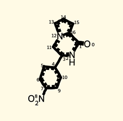 O=c1[nH]c(-c2ccc([N+](=O)[O-])cc2)cn2cccc12